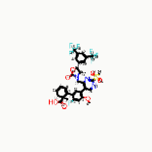 COc1cc(F)c(C2=CC=CCC2(C)C(=O)O)cc1-c1cnc(S(C)(=O)=O)nc1CN1C(=O)O[C@H](c2cc(C(F)(F)F)cc(C(F)(F)F)c2)[C@@H]1C